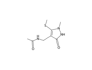 CSc1c(CNC(C)=O)c(=O)[nH]n1C